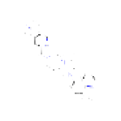 CC1CN(c2ccc(C#N)c3ncccc23)CC2CCN(Cc3cc4c(cn3)CCNC4)CCN12